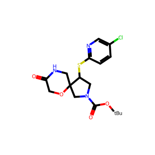 CC(C)(C)OC(=O)N1CC(Sc2ccc(Cl)cn2)C2(CNC(=O)CO2)C1